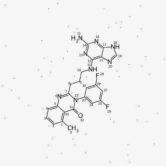 Cc1cccc2nc(CCCNc3nc(N)nc4[nH]cnc34)n(-c3cc(F)cc(F)c3)c(=O)c12